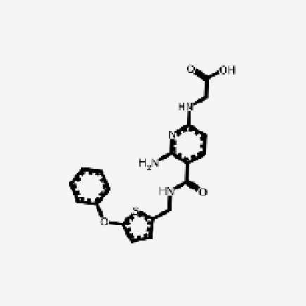 Nc1nc(NCC(=O)O)ccc1C(=O)NCc1ccc(Oc2ccccc2)s1